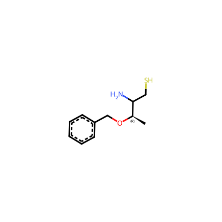 C[C@@H](OCc1ccccc1)C(N)CS